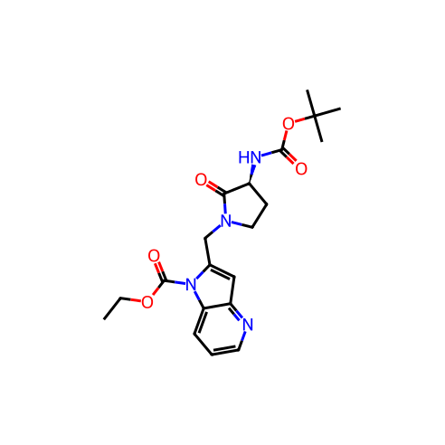 CCOC(=O)n1c(CN2CC[C@H](NC(=O)OC(C)(C)C)C2=O)cc2ncccc21